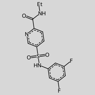 CCNC(=O)c1ccc(S(=O)(=O)Nc2cc(F)cc(F)c2)cn1